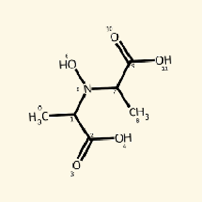 CC(C(=O)O)N(O)C(C)C(=O)O